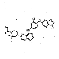 C=CC(=O)N1CC[C@H](c2ccc3ncnc(Nc4ccc(Oc5cnc6c(c5)ncn6C)c(Cl)c4)c3n2)CC1(C)C